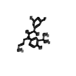 CC=CCN(C(=O)C(Cl)c1cc(F)cc(F)c1)c1ccc(Cl)c(C(C)C)c1